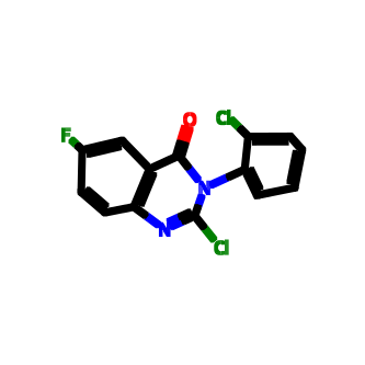 O=c1c2cc(F)ccc2nc(Cl)n1-c1ccccc1Cl